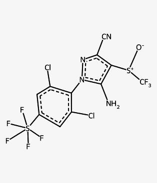 N#Cc1nn(-c2c(Cl)cc(S(F)(F)(F)(F)F)cc2Cl)c(N)c1[S+]([O-])C(F)(F)F